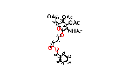 CC(=O)NC1C(OCCCC(=O)OCc2ccccc2)OC(COC(C)=O)C(OC(C)=O)C1OC(C)=O